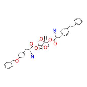 N#C/C(=C\c1ccc(CCc2ccccc2)cc1)C(=O)O[C@H]1CO[C@H]2[C@@H]1OC[C@H]2OC(=O)/C(C#N)=C/c1ccc(OCc2ccccc2)cc1